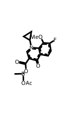 COc1c(F)ccc2c(=O)c(C(=O)OB(C)OC(C)=O)cn(C3CC3)c12